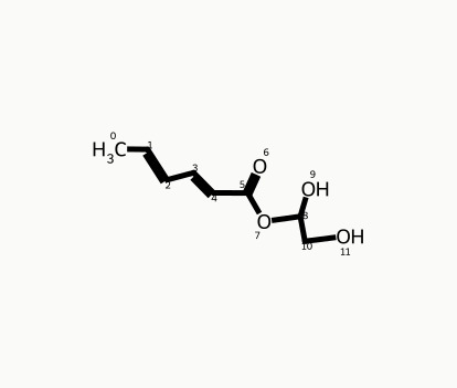 CC=CC=CC(=O)OC(O)CO